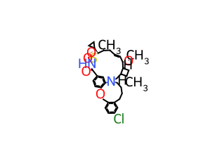 CO[C@H]1/C=C/C[C@@H](C)[C@H](C2CC2)S(=O)(=O)NC(=O)c2ccc3c(c2)N(CCCCc2cc(Cl)ccc2CO3)C[C@H]2[C@H]1C[C@H]2C